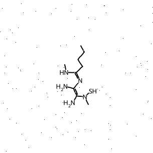 CCCC/C(=N/C(N)=C(/N)N(C)S)NC